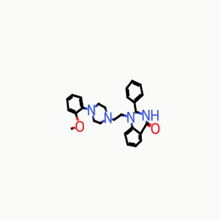 COc1ccccc1N1CCN(CCN2c3ccccc3C(=O)NC2c2ccccc2)CC1